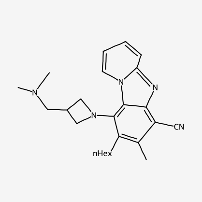 CCCCCCc1c(C)c(C#N)c2nc3ccccn3c2c1N1CC(CN(C)C)C1